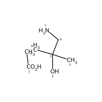 CC(=O)O.CC(C)(O)CN